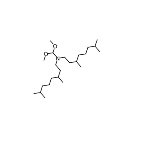 COC(OC)N(CCC(C)CCCC(C)C)CCC(C)CCCC(C)C